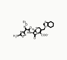 CCO/N=C(\C(=O)N[C@@H]1C(=O)N2C(C(=O)[O-])=C(C[n+]3csc4c3CCCC4)CS[C@@H]12)c1nsc(N)n1